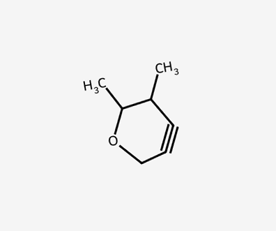 CC1C#CCOC1C